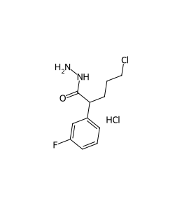 Cl.NNC(=O)C(CCCCl)c1cccc(F)c1